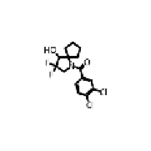 O=C(c1ccc(Cl)c(Cl)c1)N1CC(F)(F)C(O)C12CCCC2